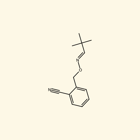 CC(C)(C)C=NOCc1ccccc1C#N